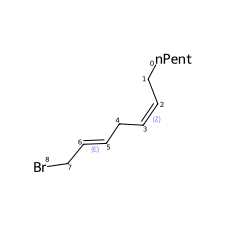 CCCCCC/C=C\C/C=C/CBr